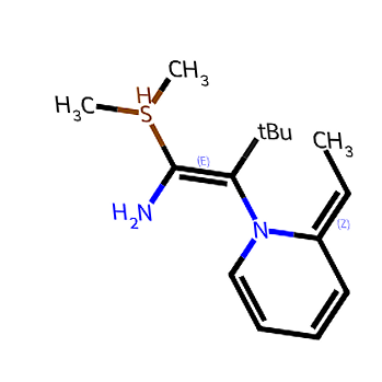 C/C=C1/C=CC=CN1/C(=C(\N)[SH](C)C)C(C)(C)C